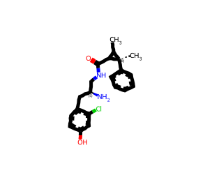 CC1C(C(=O)NC[C@@H](N)Cc2ccc(O)cc2Cl)[C@]1(C)c1ccccc1